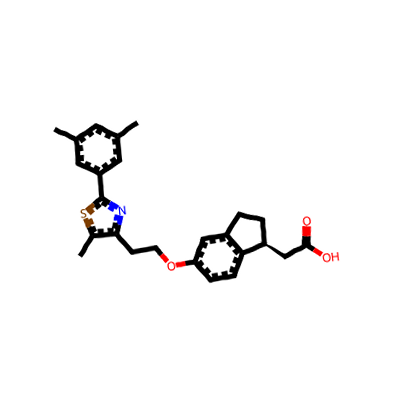 Cc1cc(C)cc(-c2nc(CCOc3ccc4c(c3)CC[C@H]4CC(=O)O)c(C)s2)c1